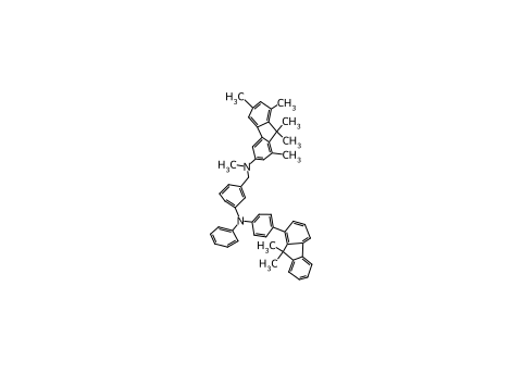 Cc1cc(C)c2c(c1)-c1cc(N(C)Cc3cccc(N(c4ccccc4)c4ccc(-c5cccc6c5C(C)(C)c5ccccc5-6)cc4)c3)cc(C)c1C2(C)C